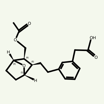 CC(=O)OC[C@H]1[C@@H](CCc2cccc(CC(=O)O)c2)[C@@H]2CC[C@H]1O2